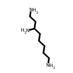 NCCCCCC(N)CCN